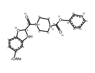 COc1ccc2c(c1)NC(C(=O)N1CCN(C(=O)Oc3cccnc3)CC1)O2